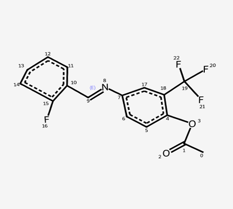 CC(=O)Oc1ccc(/N=C/c2ccccc2F)cc1C(F)(F)F